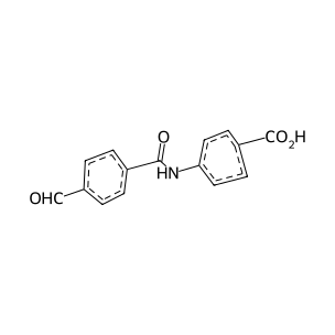 O=Cc1ccc(C(=O)Nc2ccc(C(=O)O)cc2)cc1